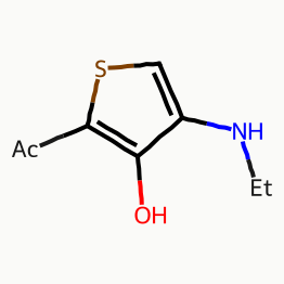 CCNc1csc(C(C)=O)c1O